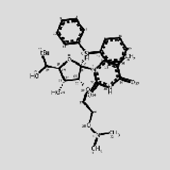 Cc1cn([C@]2([SiH](c3ccccc3)c3ccccc3)O[C@H](C(O)C(C)(C)C)[C@@H](O)[C@H]2OCCON(C)C)c(=O)[nH]c1=O